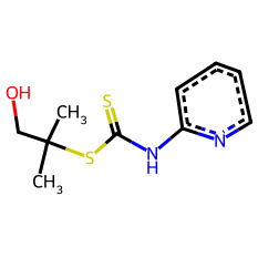 CC(C)(CO)SC(=S)Nc1ccccn1